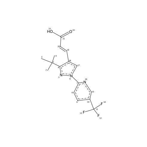 CC(C)(C)c1nn(-c2ccc(C(F)(F)F)cn2)cc1/C=C/C(=O)O